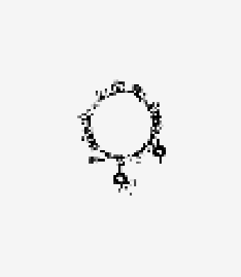 CC[C@H](C)[C@@H]1NC(=O)[C@H](CC(C)C)N(C)C(=O)C[C@@H](C)N(C)C(=O)[C@H](CC(C)C)NC(=O)C(C)(C)N(C)C(=O)[C@H](CC(C)C)NC(=O)[C@H](CCc2ccc(C(F)(F)F)c(Cl)c2)NC(=O)[C@@H](C)N(C)C(=O)[C@H](Cc2ccc(C)cc2)N(C)C(=O)[C@@H]2CCN2C(=O)CN(C)C1=O